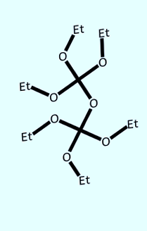 CCOC(OCC)(OCC)OC(OCC)(OCC)OCC